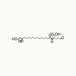 O=CCCC(NC(=O)CCCCCCCCCCCCc1cc(O)no1)C(=O)O